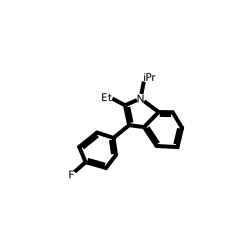 CCc1c(-c2ccc(F)cc2)c2ccccc2n1C(C)C